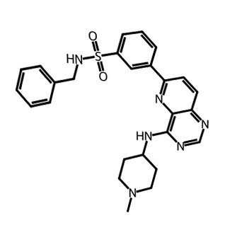 CN1CCC(Nc2ncnc3ccc(-c4cccc(S(=O)(=O)NCc5ccccc5)c4)nc23)CC1